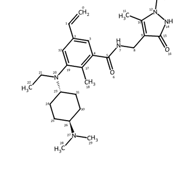 C=Cc1cc(C(=O)NCc2c(C)n(C)[nH]c2=O)c(C)c(N(CC)[C@H]2CC[C@H](N(C)C)CC2)c1